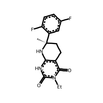 CCn1c(=O)[nH]c2c(c1=O)CC[C@](C)(c1cc(F)ccc1F)N2